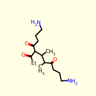 CCC(=O)C(C(=O)CCCN)C(C)C(C)C(=O)CCCN